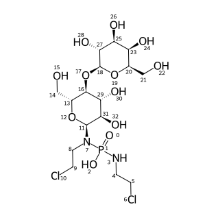 O=P(O)(NCCCl)N(CCCl)[C@H]1O[C@H](CO)[C@@H](O[C@@H]2O[C@H](CO)[C@H](O)[C@H](O)[C@H]2O)[C@H](O)[C@H]1O